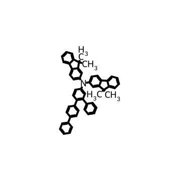 CC1(C)c2ccccc2-c2ccc(N(c3ccc(-c4ccc(-c5ccccc5)cc4)c(C4=CC=C=C=C4)c3)c3ccc4c(c3)C(C)(C)c3ccccc3-4)cc21